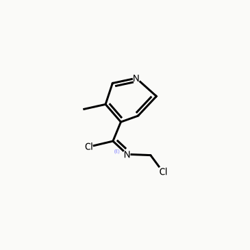 Cc1cnccc1/C(Cl)=N\CCl